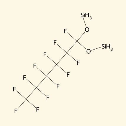 FC(F)(F)C(F)(F)C(F)(F)C(F)(F)C(F)(F)C(F)(O[SiH3])O[SiH3]